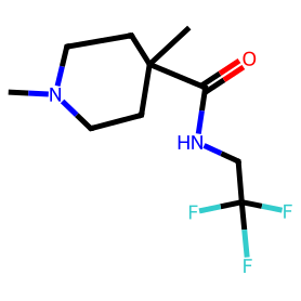 CN1CCC(C)(C(=O)NCC(F)(F)F)CC1